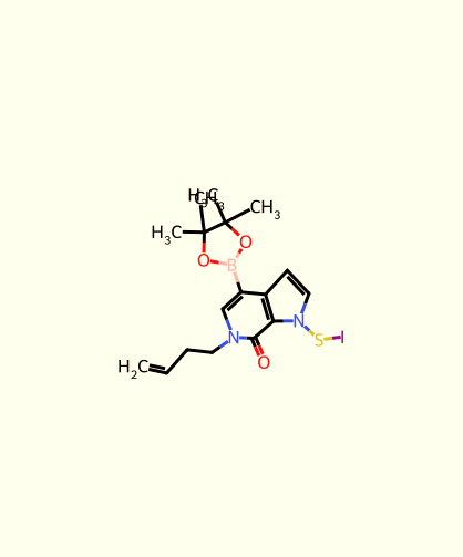 C=CCCn1cc(B2OC(C)(C)C(C)(C)O2)c2ccn(SI)c2c1=O